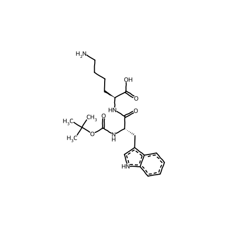 CC(C)(C)OC(=O)N[C@@H](Cc1c[nH]c2ccccc12)C(=O)N[C@@H](CCCCN)C(=O)O